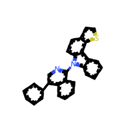 c1ccc(-c2cnc(-n3c4ccccc4c4c5sccc5ccc43)c3ccccc23)cc1